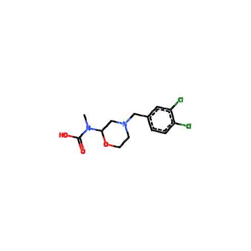 CN(C(=O)O)C1CN(Cc2ccc(Cl)c(Cl)c2)CCO1